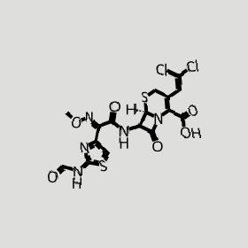 CO/N=C(/C(=O)NC1C(=O)N2C(C(=O)O)=C(C=C(Cl)Cl)CS[C@H]12)c1csc(NC=O)n1